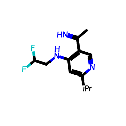 CC(=N)c1cnc(C(C)C)cc1NCC(F)F